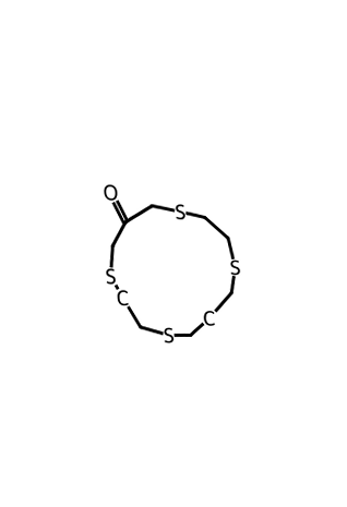 O=C1CSCCSCCCSCCSC1